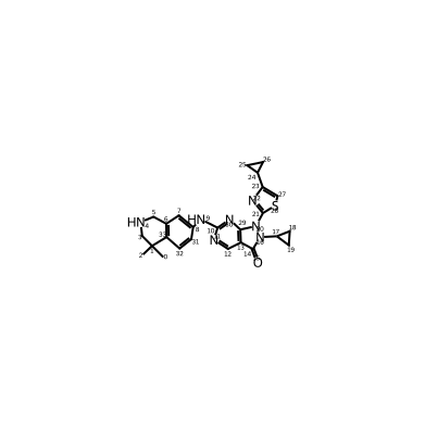 CC1(C)CNCc2cc(Nc3ncc4c(=O)n(C5CC5)n(-c5nc(C6CC6)cs5)c4n3)ccc21